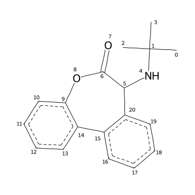 CC(C)(C)NC1C(=O)Oc2ccccc2-c2ccccc21